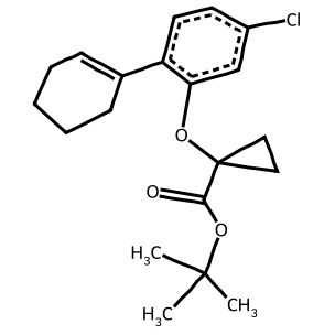 CC(C)(C)OC(=O)C1(Oc2cc(Cl)ccc2C2=CCCCC2)CC1